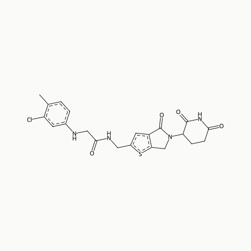 Cc1ccc(NCC(=O)NCc2cc3c(s2)CN(C2CCC(=O)NC2=O)C3=O)cc1Cl